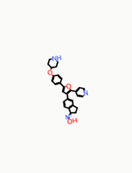 O/N=C1\CCc2cc(-c3cc(-c4ccc(OC5CCNCC5)cc4)oc3-c3ccncc3)ccc21